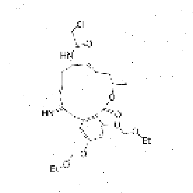 CCOCOc1cc2c(c(OCOCC)c1)C(=O)O[C@H](C)C/C=C/[C@@H](NC(=O)CCl)C/C=C/C(=N)C2